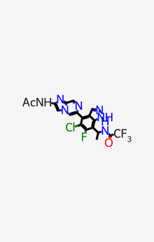 CC(=O)Nc1cn2cc(-c3c(Cl)c(F)c(C(C)NC(=O)C(F)(F)F)c4[nH]ncc34)ncc2n1